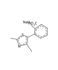 Cc1nc(C)c(-c2ccccc2C(=O)O)s1.[NaH]